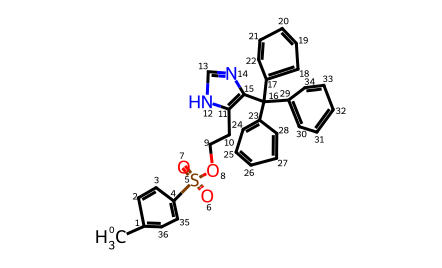 Cc1ccc(S(=O)(=O)OCCc2[nH]cnc2C(c2ccccc2)(c2ccccc2)c2ccccc2)cc1